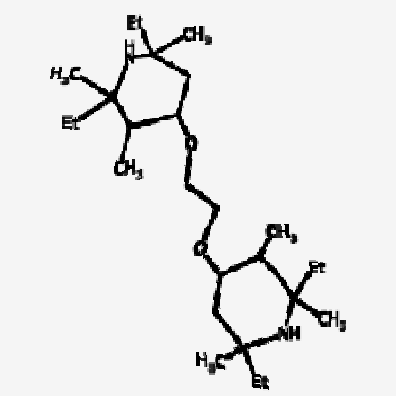 CCC1(C)CC(OCCOC2CC(C)(CC)NC(C)(CC)C2C)C(C)C(C)(CC)N1